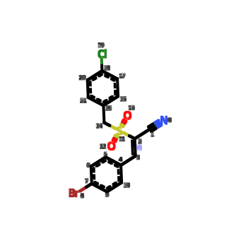 N#C/C(=C/c1ccc(Br)cc1)S(=O)(=O)Cc1ccc(Cl)cc1